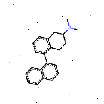 CN(C)C1CCc2c(cccc2-c2cccc3ccccc23)C1